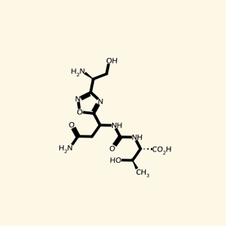 C[C@@H](O)[C@H](NC(=O)NC(CC(N)=O)c1nc([C@@H](N)CO)no1)C(=O)O